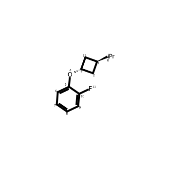 CC(C)[C@H]1C[C@H](Oc2ccccc2F)C1